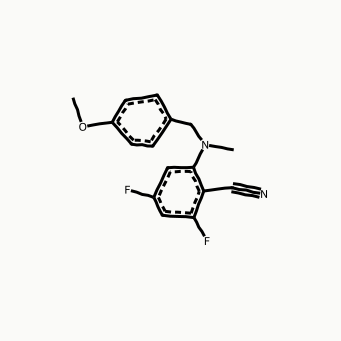 COc1ccc(CN(C)c2cc(F)cc(F)c2C#N)cc1